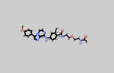 COc1ccc(-c2cnc3c(Nc4ccc(C(=O)NCCOCCNC(C)=O)c(C)c4)nccn23)cc1